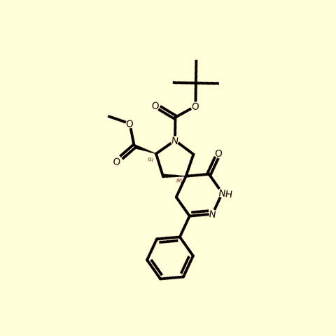 COC(=O)[C@@H]1C[C@@]2(CC(c3ccccc3)=NNC2=O)CN1C(=O)OC(C)(C)C